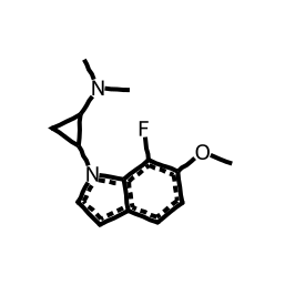 COc1ccc2ccn(C3CC3N(C)C)c2c1F